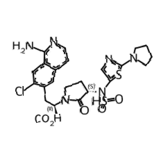 Nc1nccc2cc(C[C@H](C(=O)O)N3CC[C@H](N(c4cnc(N5CCCC5)s4)[SH](=O)=O)C3=O)c(Cl)cc12